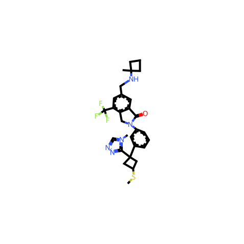 CSC1CC(c2cccc(N3Cc4c(cc(CNC5(C)CCC5)cc4C(F)(F)F)C3=O)c2)(c2nncn2C)C1